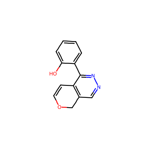 Oc1ccccc1-c1nncc2c1C=COC2